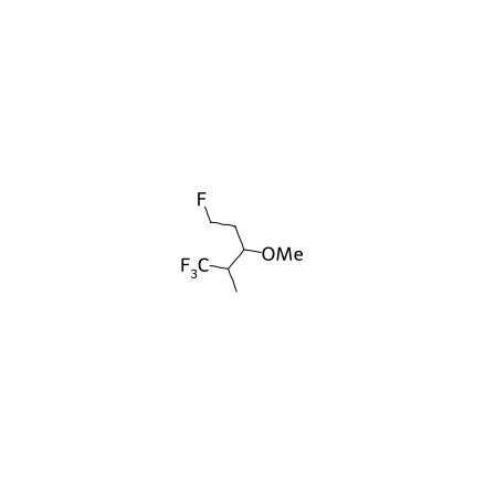 COC(CCF)C(C)C(F)(F)F